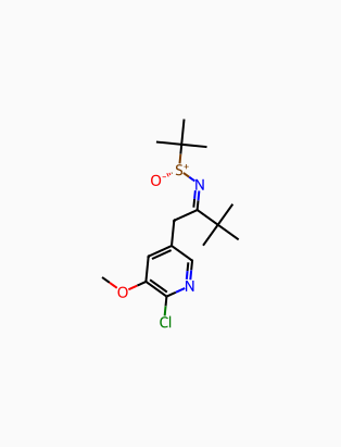 COc1cc(C/C(=N\[S@+]([O-])C(C)(C)C)C(C)(C)C)cnc1Cl